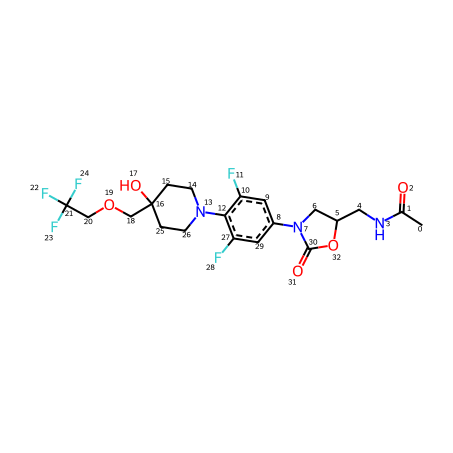 CC(=O)NCC1CN(c2cc(F)c(N3CCC(O)(COCC(F)(F)F)CC3)c(F)c2)C(=O)O1